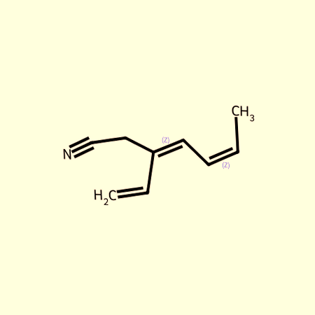 C=C/C(=C\C=C/C)CC#N